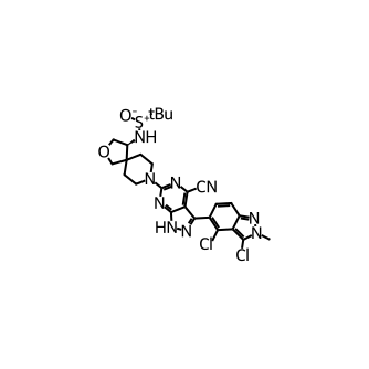 Cn1nc2ccc(-c3n[nH]c4nc(N5CCC6(CC5)COC[C@H]6N[S@+]([O-])C(C)(C)C)nc(C#N)c34)c(Cl)c2c1Cl